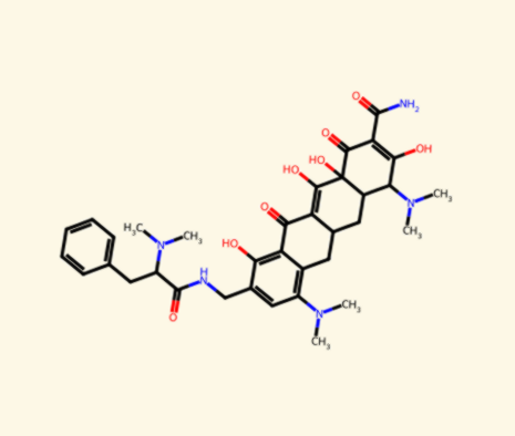 CN(C)c1cc(CNC(=O)C(Cc2ccccc2)N(C)C)c(O)c2c1CC1CC3C(N(C)C)C(O)=C(C(N)=O)C(=O)C3(O)C(O)=C1C2=O